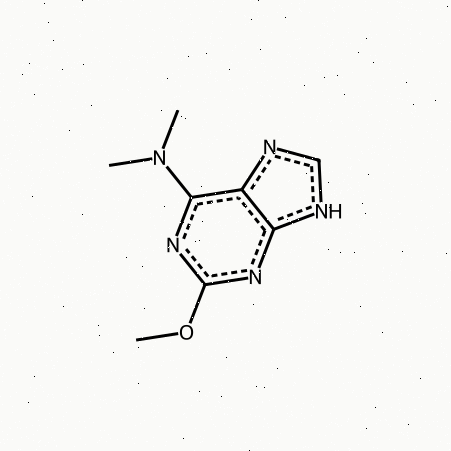 COc1nc(N(C)C)c2nc[nH]c2n1